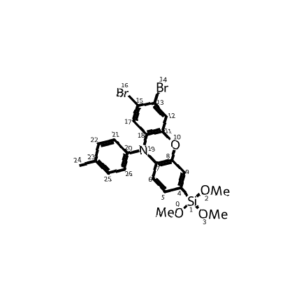 CO[Si](OC)(OC)c1ccc2c(c1)Oc1cc(Br)c(Br)cc1N2c1ccc(C)cc1